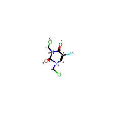 O=c1c(F)cn(CCl)c(=O)n1CCl